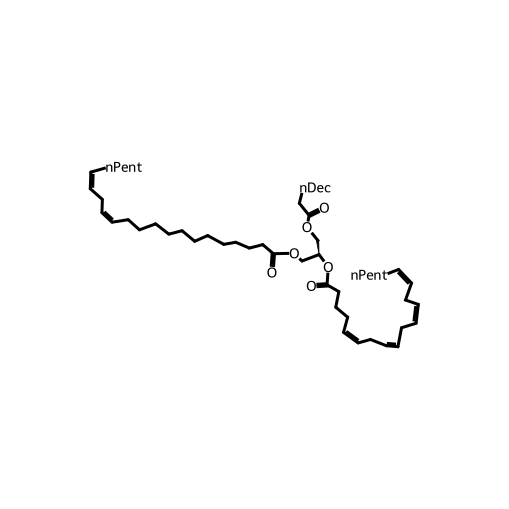 CCCCC/C=C\C/C=C\C/C=C\C/C=C\CCCC(=O)O[C@H](COC(=O)CCCCCCCCCCC)COC(=O)CCCCCCCCCCC/C=C\C/C=C\CCCCC